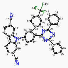 N#Cc1ccc2c3ccc(C#N)cc3n(-c3ccc(-c4nc(-c5ccccc5)nc(-c5ccccc5)n4)c(-c4ccc(C(F)(F)F)cc4)c3)c2c1